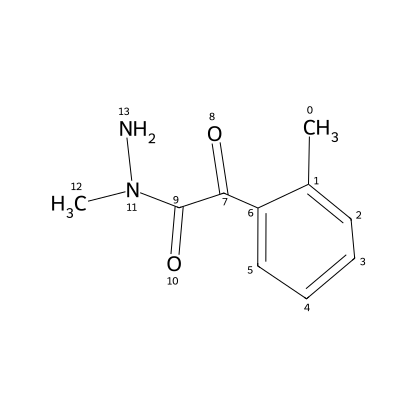 Cc1ccccc1C(=O)C(=O)N(C)N